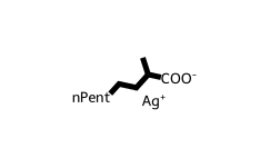 CCCCCCCC(C)C(=O)[O-].[Ag+]